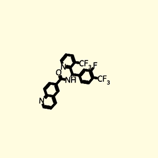 O=C(N[C@@H](c1ccc(C(F)(F)F)c(F)c1)c1ncccc1C(F)(F)F)c1ccc2ncccc2c1